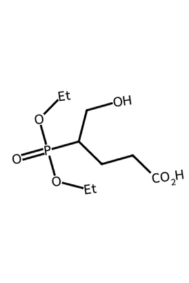 CCOP(=O)(OCC)C(CO)CCC(=O)O